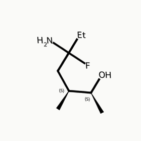 CCC(N)(F)C[C@H](C)[C@H](C)O